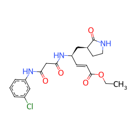 CCOC(=O)C=C[C@H](C[C@@H]1CCNC1=O)NC(=O)CC(=O)Nc1cccc(Cl)c1